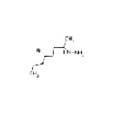 CCC[C@H](Br)CCC(C)NN